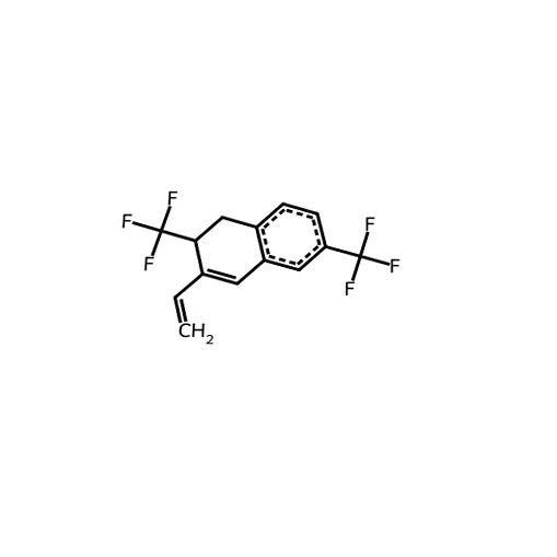 C=CC1=Cc2cc(C(F)(F)F)ccc2CC1C(F)(F)F